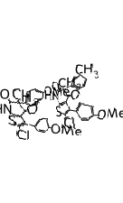 COc1ccc(-c2c(Cl)sc3c2C(=O)C(C)(c2ccc(OC)cc2)C(=O)N3)cc1.COc1ccc(-c2c(Cl)sc3c2C(=O)C(C)(c2cccc(C)c2)C(=O)N3)cc1